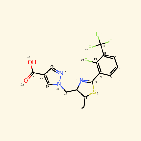 CC1SC(c2cccc(C(F)(F)F)c2F)=NC1Cn1cc(C(=O)O)cn1